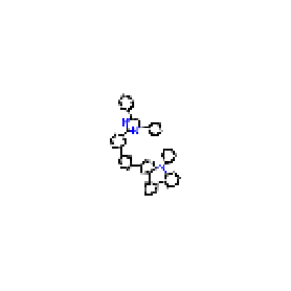 c1ccc(-c2cc(-c3ccccc3)nc(-c3cccc(-c4cccc(-c5ccc6c(c5)-c5ccccc5-c5ccccc5N6c5ccccc5)c4)c3)n2)cc1